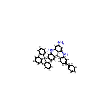 Nc1cc2c3c(c1)Nc1cc([Si](c4ccccc4)(c4ccccc4)c4ccccc4)ccc1B3c1ccc(-c3ccccc3)cc1N2